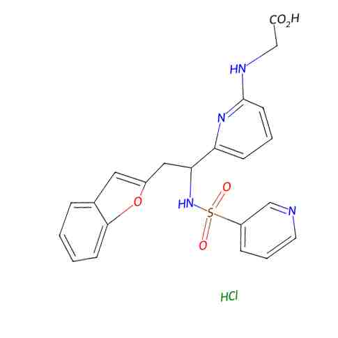 Cl.O=C(O)CNc1cccc(C(Cc2cc3ccccc3o2)NS(=O)(=O)c2cccnc2)n1